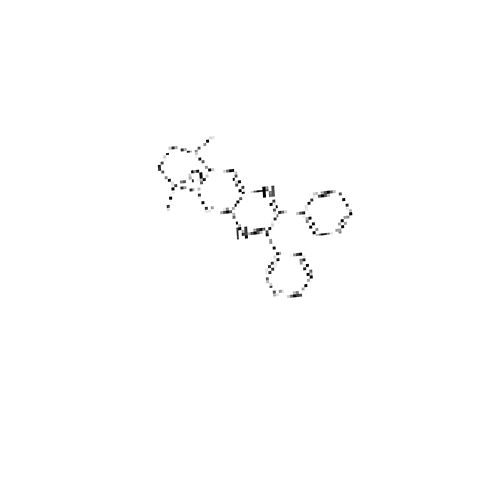 CC12CCC(C)(O1)C1C=c3nc(-c4ccccc4)c(-c4ccccc4)nc3=CC12